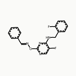 Fc1ccccc1CNc1nc(ON=Cc2ccccc2)ncc1F